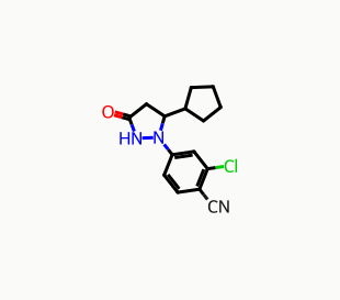 N#Cc1ccc(N2NC(=O)CC2C2CCCC2)cc1Cl